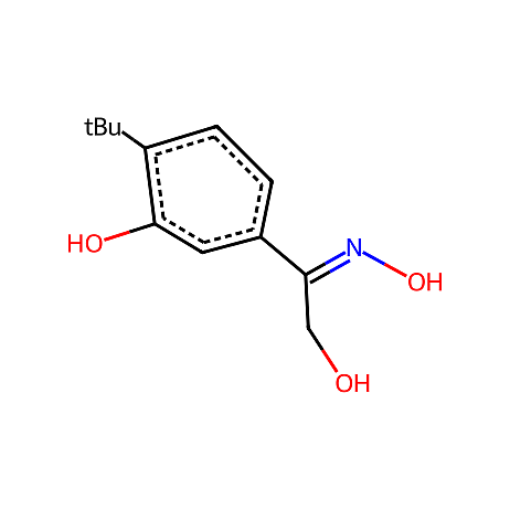 CC(C)(C)c1ccc(C(CO)=NO)cc1O